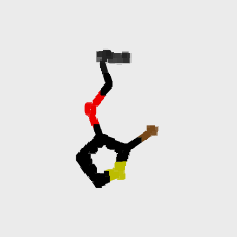 CCCCCCOc1ccsc1Br